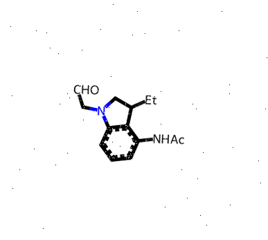 CCC1CN(CC=O)c2cccc(NC(C)=O)c21